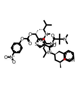 CCC[C@H](NC(=O)C(C)(C)N(C)C)C(=O)N(C)[C@H](C[C@@H](OC(=O)Oc1ccc([N+](=O)[O-])cc1)c1nc(C(=O)N[C@@H](Cc2ccccc2)C[C@H](C)C(=O)O)cs1)C(C)C